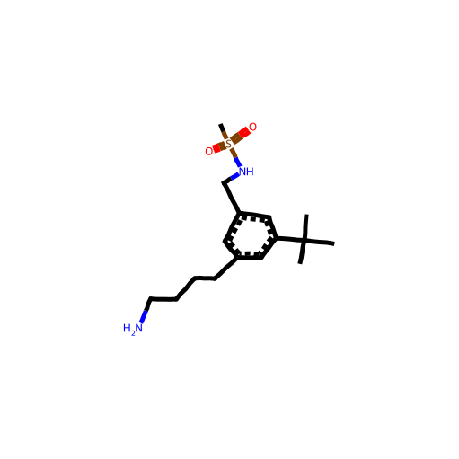 CC(C)(C)c1cc(CCCCN)cc(CNS(C)(=O)=O)c1